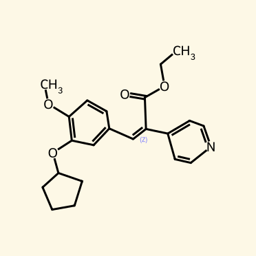 CCOC(=O)/C(=C\c1ccc(OC)c(OC2CCCC2)c1)c1ccncc1